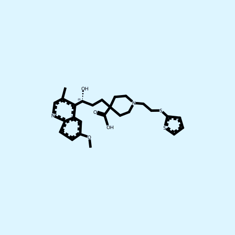 COc1ccc2ncc(C)c([C@H](O)CCC3(C(=O)O)CCN(CCSc4cccs4)CC3)c2c1